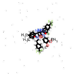 COc1ccc(N(CCc2ccc(C(F)(F)F)cc2)C(=O)C(N)(c2cccc(F)c2)C(N)(C(=O)N(CCc2ccc(C(F)(F)F)cc2)c2ccc(C)c(C)c2)c2ccccc2)cc1OC